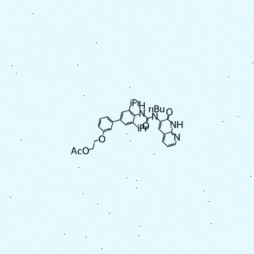 CCCCN(C(=O)Nc1c(C(C)C)cc(-c2cccc(OCCOC(C)=O)c2)cc1C(C)C)c1cc2cccnc2[nH]c1=O